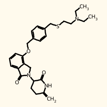 C=C1CCC(N2Cc3c(OCc4ccc(CSCCN(CC)CC)cc4)cccc3C2=O)C(=O)N1